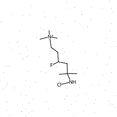 CC(C)(CC(F)CC[N+](C)(C)C)NCl